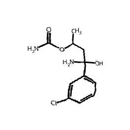 CC(CC(N)(O)c1cccc(Cl)c1)OC(N)=O